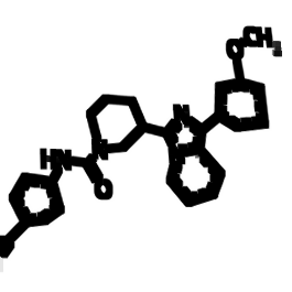 COc1cccc(-c2nc(C3CCCN(C(=O)Nc4ccc(C#N)cc4)C3)n3ccccc23)c1